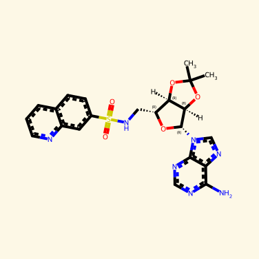 CC1(C)O[C@@H]2[C@H](O1)[C@@H](CNS(=O)(=O)c1ccc3cccnc3c1)O[C@H]2n1cnc2c(N)ncnc21